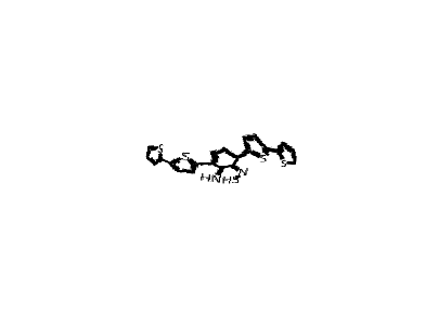 N=C1C(c2ccc(-c3cccs3)s2)=CC=C(c2ccc(-c3cccs3)s2)/C1=N/S